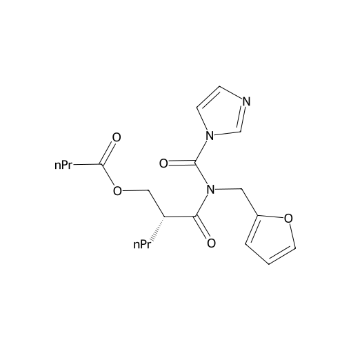 CCCC(=O)OC[C@@H](CCC)C(=O)N(Cc1ccco1)C(=O)n1ccnc1